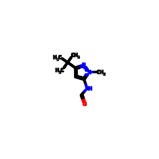 Cn1nc(C(C)(C)C)cc1NC=O